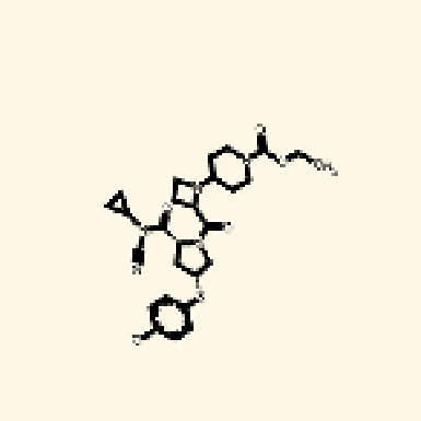 CCOC(=O)N1CCC(N2CCC2C(=O)N2C[C@H](Sc3ccc(Cl)cc3)C[C@H]2C(=O)N(C#N)C2CC2)CC1